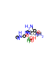 NCCc1ccc(C(N)=O)cc1C(Cc1ccnc(Oc2ccc(CNc3ccccn3)cc2)n1)C(=O)O.O=C(O)C(F)(F)F